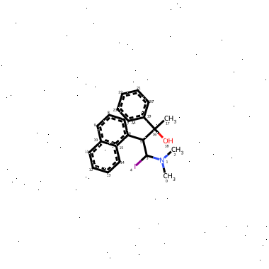 CN(C)C(I)C(c1cccc2ccccc12)C(C)(O)c1ccccc1